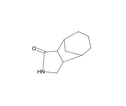 O=C1NCC2C3CCCC(C3)C12